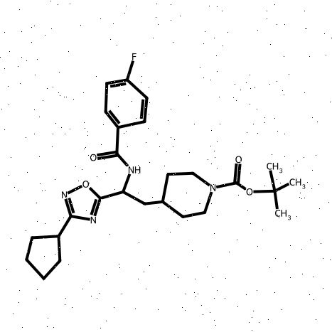 CC(C)(C)OC(=O)N1CCC(CC(NC(=O)c2ccc(F)cc2)c2nc(C3CCCC3)no2)CC1